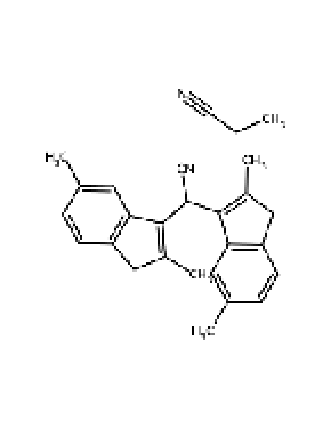 CC1=C(C(C#N)C2=C(C)Cc3ccc(C)cc32)c2cc(C)ccc2C1.CCC#N